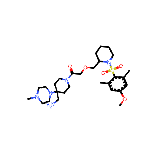 COc1cc(C)c(S(=O)(=O)N2CCCCC2COCC(=O)N2CCC(CN)(N3CCN(C)CC3)CC2)c(C)c1